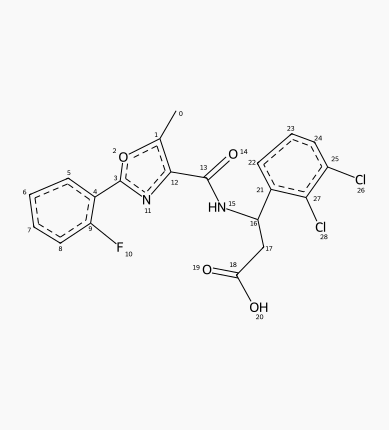 Cc1oc(-c2ccccc2F)nc1C(=O)NC(CC(=O)O)c1cccc(Cl)c1Cl